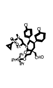 CCC(CN(C)S(=O)(=O)C1CC1)N1C(=O)[C@@](CC=O)(CCO[Si](C(C)C)(C(C)C)C(C)C)C[C@H](c2cccc(Cl)c2)[C@H]1c1ccc(Cl)cc1